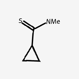 CNC(=S)C1CC1